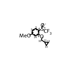 COc1ccc([S+]([O-])C(F)(F)F)c(OCC2CC2)c1